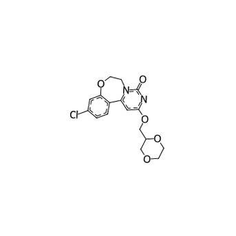 O=c1nc(OCC2COCCO2)cc2n1CCOc1cc(Cl)ccc1-2